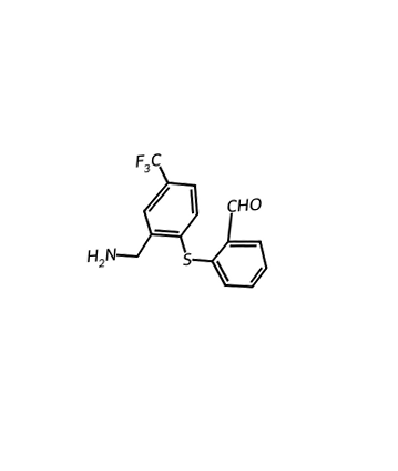 NCc1cc(C(F)(F)F)ccc1Sc1ccccc1C=O